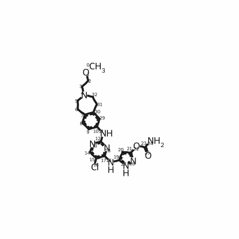 COCCN1CCc2ccc(Nc3ncc(Cl)c(Nc4cc(OC(N)=O)n[nH]4)n3)cc2CC1